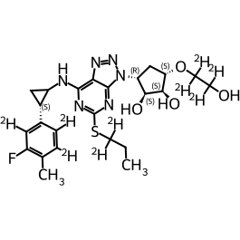 [2H]c1c([2H])c([C@@H]2CC2Nc2nc(SC([2H])([2H])CC)nc3c2nnn3[C@@H]2C[C@H](OC([2H])([2H])C([2H])([2H])O)[C@@H](O)[C@H]2O)c([2H])c(F)c1C